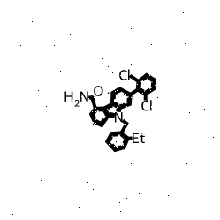 CCc1ccccc1Cn1c2cc(-c3c(Cl)cccc3Cl)c[c]c2c2c(C(N)=O)cccc21